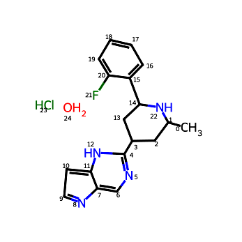 CC1CC(c2ncc3nccc-3[nH]2)CC(c2ccccc2F)N1.Cl.O